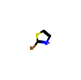 BrC1=[N+]C=CS1